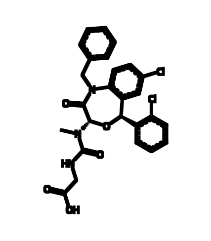 CN(C(=O)NCC(=O)O)[C@H]1O[C@H](c2ccccc2Cl)c2cc(Cl)ccc2N(Cc2ccccc2)C1=O